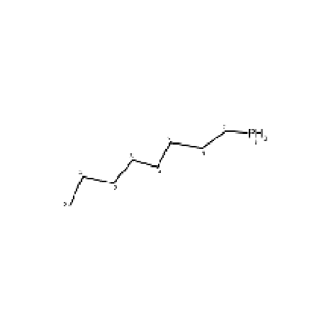 CCCCCCCCP